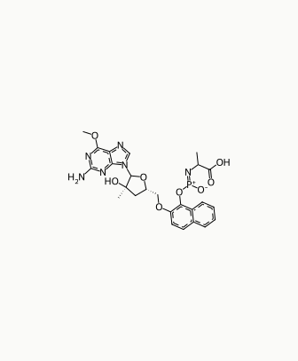 COc1nc(N)nc2c1ncn2C1O[C@H](COc2ccc3ccccc3c2O/[P+]([O-])=N/C(C)C(=O)O)C[C@@]1(C)O